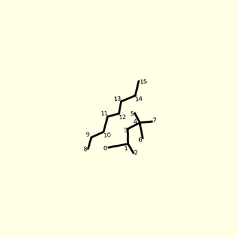 CC(C)CC(C)(C)C.CCCCCCCC